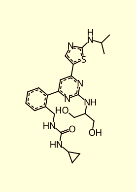 CC(C)Nc1ncc(-c2cc(-c3ccccc3CNC(=O)NC3CC3)nc(NC(CO)CO)n2)s1